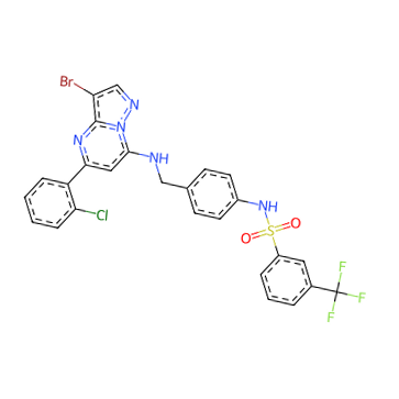 O=S(=O)(Nc1ccc(CNc2cc(-c3ccccc3Cl)nc3c(Br)cnn23)cc1)c1cccc(C(F)(F)F)c1